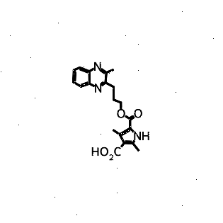 Cc1nc2ccccc2nc1CCCOC(=O)c1[nH]c(C)c(C(=O)O)c1C